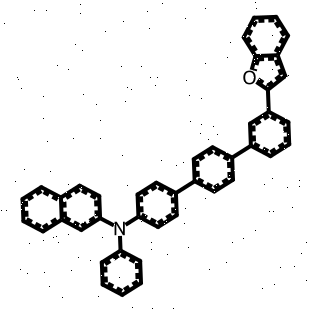 c1ccc(N(c2ccc(-c3ccc(-c4cccc(-c5cc6ccccc6o5)c4)cc3)cc2)c2ccc3ccccc3c2)cc1